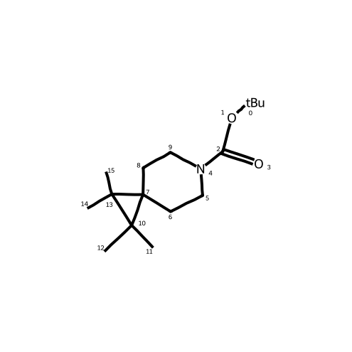 CC(C)(C)OC(=O)N1CCC2(CC1)C(C)(C)C2(C)C